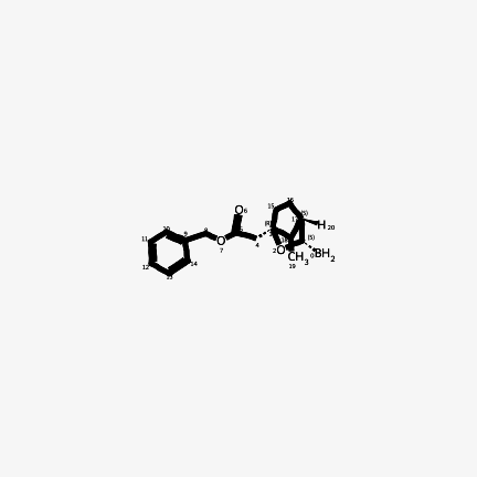 B[C@@H]1O[C@@]2(CC(=O)OCc3ccccc3)CC[C@H]1C2C